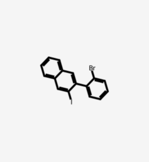 Brc1ccccc1-c1cc2ccccc2cc1I